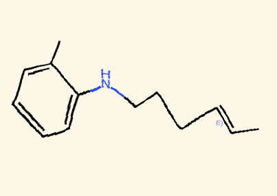 C/C=C/CCCNc1ccccc1C